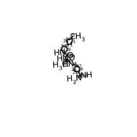 Cc1ccc([C@H]2CCN[C@@H](C(=O)N[C@@H](C)C(=O)NCc3ccc(C(=N)N)cc3)C2)cc1